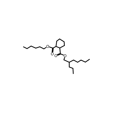 CCCCCCOC(=O)C1CCCCC1C(=O)OCC(CCC)CCCCC